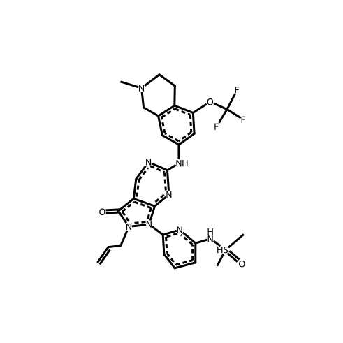 C=CCn1c(=O)c2cnc(Nc3cc4c(c(OC(F)(F)F)c3)CCN(C)C4)nc2n1-c1cccc(N[SH](C)(C)=O)n1